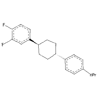 CCCc1ccc([C@H]2CC[C@H](c3ccc(F)c(F)c3)CC2)cc1